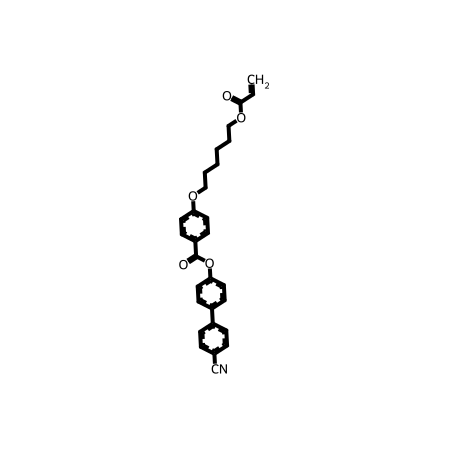 C=CC(=O)OCCCCCCOc1ccc(C(=O)Oc2ccc(-c3ccc(C#N)cc3)cc2)cc1